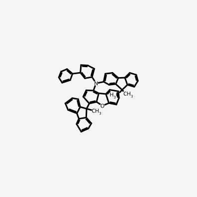 CC1(C)c2ccccc2-c2ccc(N(c3cccc(-c4ccccc4)c3)c3ccc(C4(C)c5ccccc5-c5ccccc54)c4oc5ccccc5c34)cc21